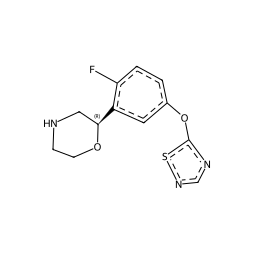 Fc1ccc(Oc2ncns2)cc1[C@@H]1CNCCO1